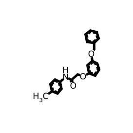 Cc1ccc(NC(=O)COc2cccc(OCc3ccccc3)c2)cc1